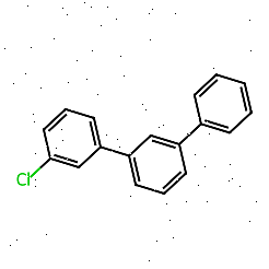 Clc1cccc(-c2cccc(-c3ccccc3)c2)c1